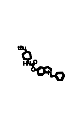 CC(C)(C)C1CCC(NC(=O)Oc2ccc3c(c2)CCN3Cc2ccccc2)CC1